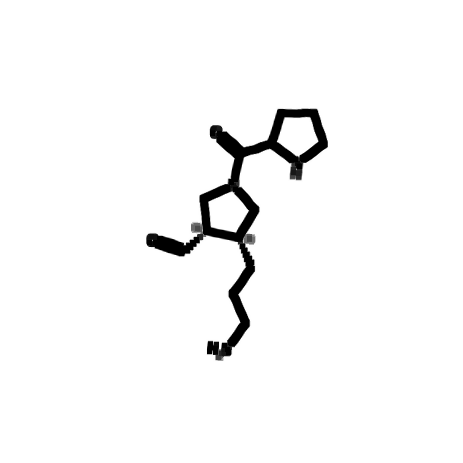 BCCC[C@H]1CN(C(=O)C2CCCN2)C[C@H]1C=O